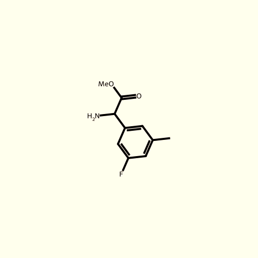 COC(=O)C(N)c1cc(C)cc(F)c1